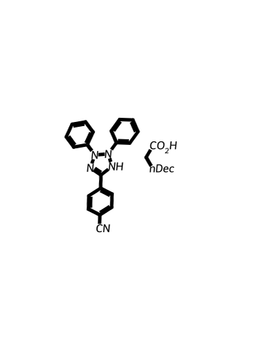 CCCCCCCCCCCC(=O)O.N#Cc1ccc(C2=NN(c3ccccc3)N(c3ccccc3)N2)cc1